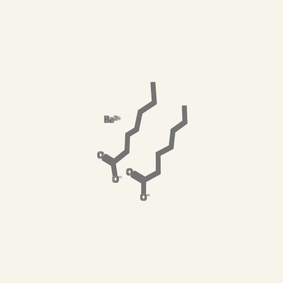 CCCCCCC(=O)[O-].CCCCCCC(=O)[O-].[Ba+2]